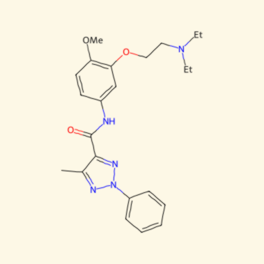 CCN(CC)CCOc1cc(NC(=O)c2nn(-c3ccccc3)nc2C)ccc1OC